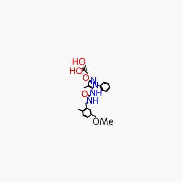 COCc1ccc(C)c(CNC(=O)Nc2c(C)c(OC[C@H](O)CO)nn2-c2ccccc2)c1